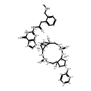 CNCc1ccccc1CC(=O)Nc1nc2c(ncn2[C@@H]2O[C@@H]3CO[PH](=O)O[C@H]4C[C@H](Oc5ccncn5)C[C@@H]4CO[PH](=O)O[C@@H]2[C@@H]3O)c(=O)[nH]1